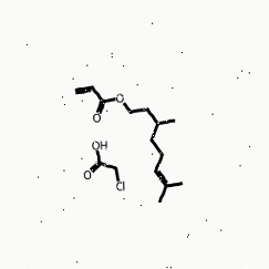 C=CC(=O)OCCC(C)CCC=C(C)C.O=C(O)CCl